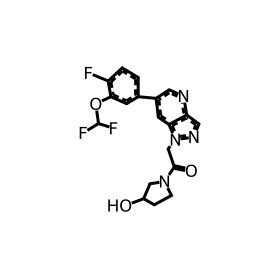 O=C(Cn1ncc2ncc(-c3ccc(F)c(OC(F)F)c3)cc21)N1CCC(O)C1